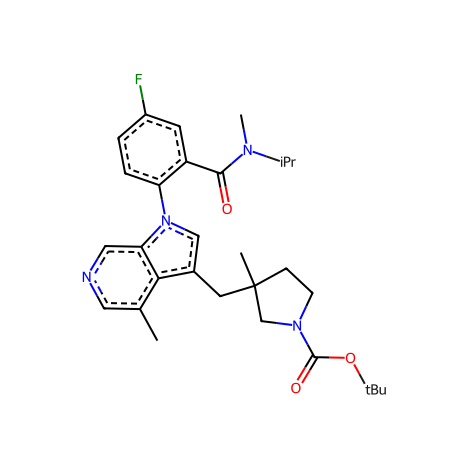 Cc1cncc2c1c(CC1(C)CCN(C(=O)OC(C)(C)C)C1)cn2-c1ccc(F)cc1C(=O)N(C)C(C)C